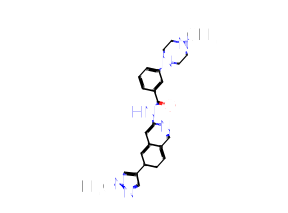 CN1CCN(c2cccc(C(=O)Nc3cc4c(cn3)=CCC(c3cnn(C)c3)C=4)c2)CC1